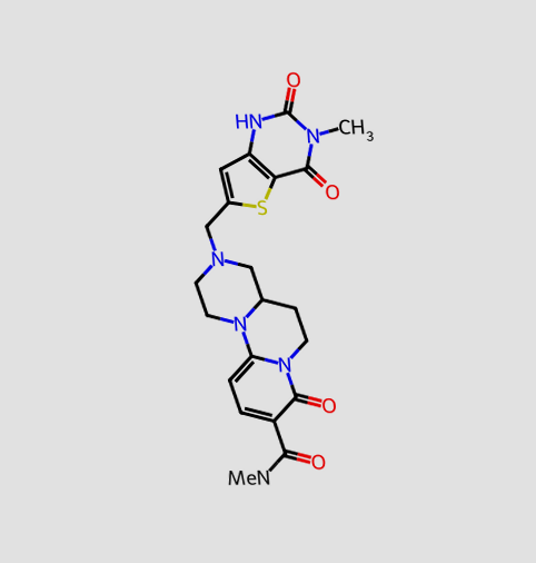 CNC(=O)c1ccc2n(c1=O)CCC1CN(Cc3cc4[nH]c(=O)n(C)c(=O)c4s3)CCN21